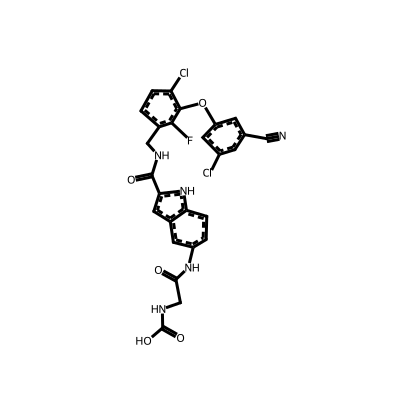 N#Cc1cc(Cl)cc(Oc2c(Cl)ccc(CNC(=O)c3cc4cc(NC(=O)CNC(=O)O)ccc4[nH]3)c2F)c1